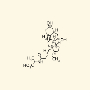 CC(NC(=O)CCC(C)[C@H]1CC[C@H]2[C@@H]3[C@@H](O)C[C@@H]4C[C@H](O)CC[C@]4(C)[C@H]3CC[C@]12C)C(=O)O